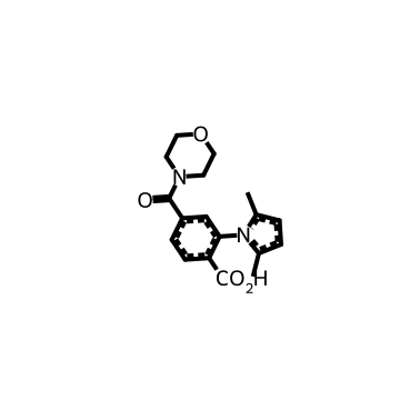 Cc1ccc(C)n1-c1cc(C(=O)N2CCOCC2)ccc1C(=O)O